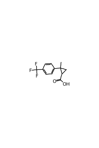 CC1(c2ccc(C(F)(F)F)cc2)CC1C(=O)O